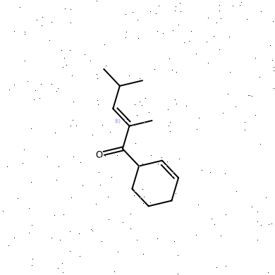 C/C(=C\C(C)C)C(=O)C1C=CCCC1